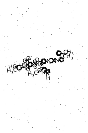 CCOc1nc2[nH]ccc2cc1Oc1cc(N2CCC3(CC2)CN([C@H]2CCC[C@H]2c2ccccc2C(C)C)C3)ccc1C(=O)NS(=O)(=O)c1cc2c(c([N+](=O)[O-])c1)N[C@@H]([C@H]1CC[C@](C)(O)CC1)CO2